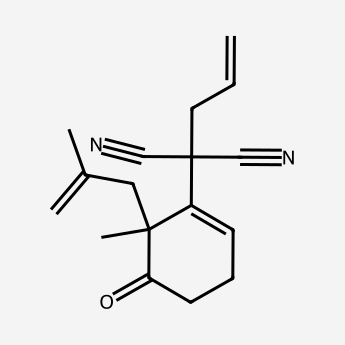 C=CCC(C#N)(C#N)C1=CCCC(=O)C1(C)CC(=C)C